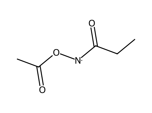 CCC(=O)[N]OC(C)=O